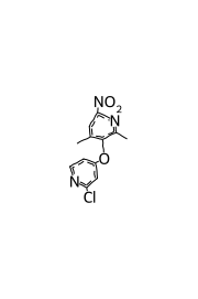 Cc1cc([N+](=O)[O-])nc(C)c1Oc1ccnc(Cl)c1